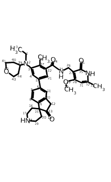 CCN(c1cc(-c2ccc3c(c2)CC(=O)C32CCNCC2)cc(C(=O)NCc2c(OC)cc(C)[nH]c2=O)c1C)C1CCOCC1